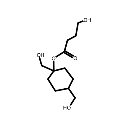 O=C(CCCO)OC1(CO)CCC(CO)CC1